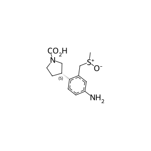 C[S+]([O-])Cc1cc(N)ccc1[C@@H]1CCN(C(=O)O)C1